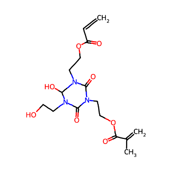 C=CC(=O)OCCN1C(=O)N(CCOC(=O)C(=C)C)C(=O)N(CCO)C1O